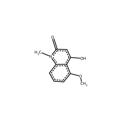 COc1cccc2c1c(O)cc(=O)n2C